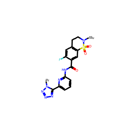 CC(C)n1nnnc1-c1cccc(NC(=O)c2cc3c(cc2F)CCN(C(C)(C)C)S3(=O)=O)n1